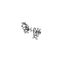 O=C(/C=C/C(=O)OC1(c2cccs2)CN2CCC1CC2)OC1(c2cccs2)CN2CCC1CC2